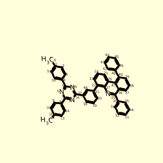 Cc1ccc(-c2nc(-c3ccc(C)cc3)nc(-c3cccc(-c4cccc5c4nc(-c4ccccc4)c4cccc(-c6ccccc6)c45)c3)n2)cc1